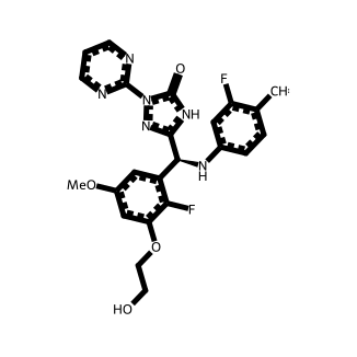 [CH]c1ccc(N[C@H](c2nn(-c3ncccn3)c(=O)[nH]2)c2cc(OC)cc(OCCO)c2F)cc1F